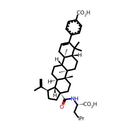 C=C(C)[C@@H]1CC[C@]2(C(=O)N[C@@H](CC(C)C)C(=O)O)CC[C@]3(C)[C@H](CC[C@@H]4[C@@]5(C)CC=C(c6ccc(C(=O)O)cc6)C(C)(C)[C@@H]5CC[C@]43C)[C@@H]12